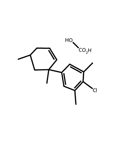 Cc1cc(C2(C)C=CCC(C)C2)cc(C)c1Cl.O=C(O)O